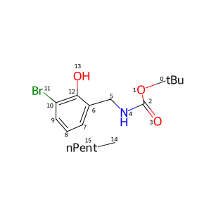 CC(C)(C)OC(=O)NCc1cccc(Br)c1O.CCCCCC